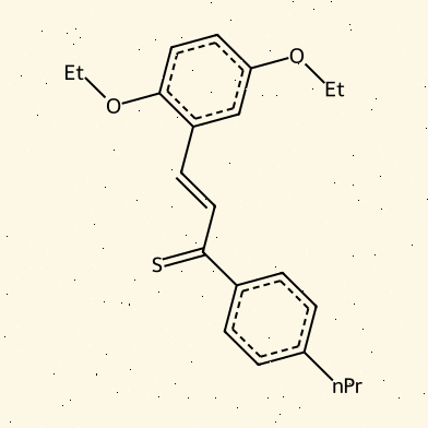 CCCc1ccc(C(=S)C=Cc2cc(OCC)ccc2OCC)cc1